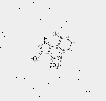 Cc1c[nH]c2c1c(C(=O)O)nc1cccc(Cl)c12